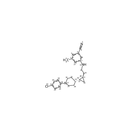 Cc1nc(C#N)cc(NCC[C@H]2C[C@@H]2C2CCN(c3ncc(Cl)cn3)CC2)n1